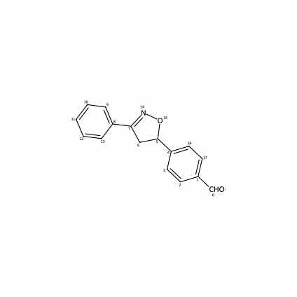 O=[C]c1ccc(C2CC(c3ccccc3)=NO2)cc1